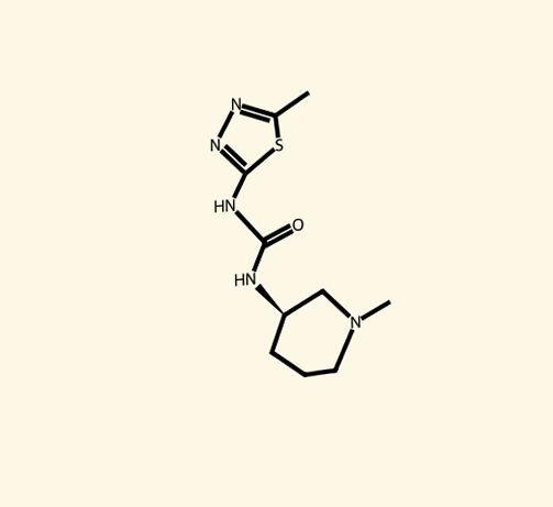 Cc1nnc(NC(=O)N[C@@H]2CCCN(C)C2)s1